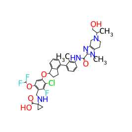 Cc1c(NC(=O)c2nc3c(n2C)CCN(C(C)CO)C3)cccc1-c1cccc2c1CCC2Oc1cc(OC(F)F)c(CNC2(C(=O)O)CC2)c(F)c1Cl